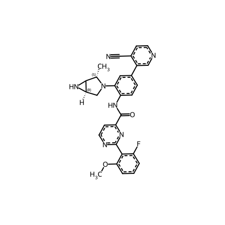 COc1cccc(F)c1-c1nccc(C(=O)Nc2ccc(-c3cnccc3C#N)cc2N2C[C@H]3NC3[C@@H]2C)n1